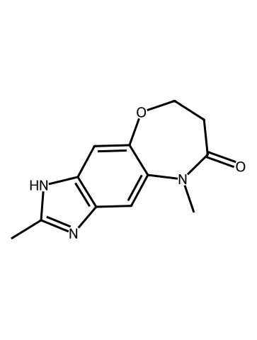 Cc1nc2cc3c(cc2[nH]1)OCCC(=O)N3C